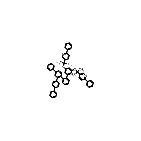 CC(C)(Oc1cc(OC(C)(C)c2ccc(-c3ccccc3)nc2)cc(-c2ccccc2-c2cnc(-c3ccccc3)cc2-c2ccc(-c3ccccc3)cc2)c1)c1ccc(-c2ccccc2)nc1